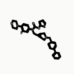 O=C(Oc1cccs1)N(CC1C2CN(Cc3ccc(-c4ccccc4)cc3)CC21)c1ccc(N2CCOCC2)c(F)c1